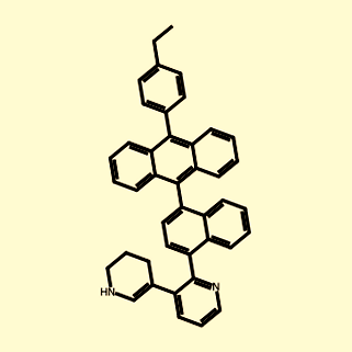 CCc1ccc(-c2c3ccccc3c(-c3ccc(-c4ncccc4C4=CNCCC4)c4ccccc34)c3ccccc23)cc1